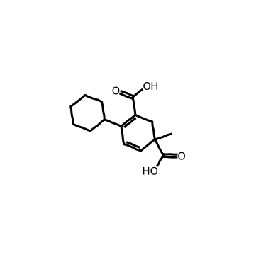 CC1(C(=O)O)C=CC(C2CCCCC2)=C(C(=O)O)C1